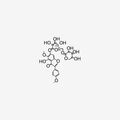 COc1ccc(-c2coc3cc(O[C@@H]4O[C@H](CO[C@@H]5OC[C@@H](O)[C@H](O)[C@H]5O)[C@@H](O)[C@H](O)[C@H]4O)c(OC)c(O)c3c2=O)cc1